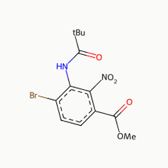 COC(=O)c1ccc(Br)c(NC(=O)C(C)(C)C)c1[N+](=O)[O-]